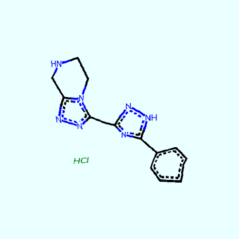 Cl.c1ccc(-c2nc(-c3nnc4n3CCNC4)n[nH]2)cc1